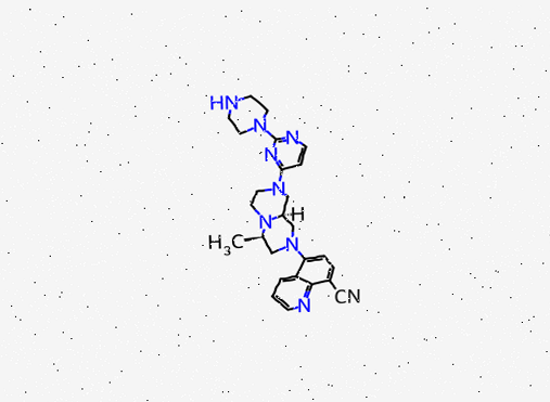 C[C@@H]1CN(c2ccc(C#N)c3ncccc23)C[C@@H]2CN(c3ccnc(N4CCNCC4)n3)CCN21